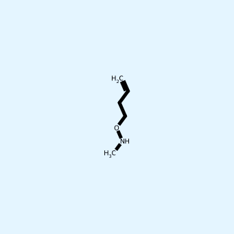 C=CCCONC